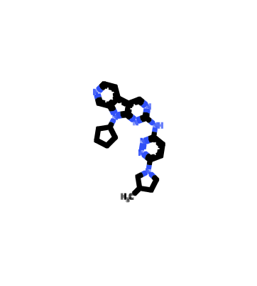 CC1CCN(c2ccc(Nc3ncc4c5ccncc5n(C5CCCC5)c4n3)nn2)C1